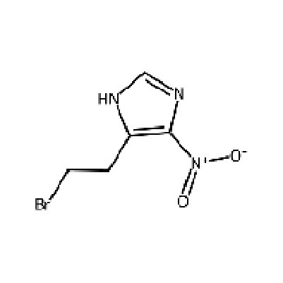 O=[N+]([O-])c1nc[nH]c1CCBr